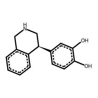 Oc1ccc([C@@H]2CNCc3ccccc32)cc1O